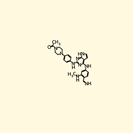 CNc1cc(Nc2nc(Nc3ccc(N4CCN(C(C)=O)CC4)cc3)nc3[nH]ccc23)ccc1C=N